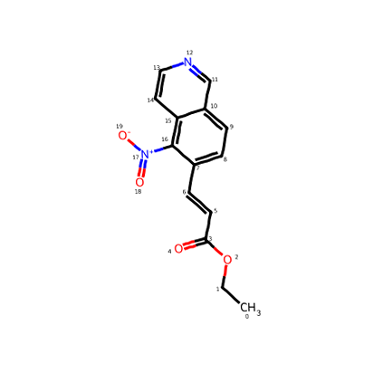 CCOC(=O)/C=C/c1ccc2cnccc2c1[N+](=O)[O-]